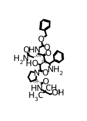 CC(C)(CO)NC(=O)[C@@H]1CCCN1C(=O)C(O)[C@@H](C(=O)[C@H](CC(N)=O)NC(=O)OCc1ccccc1)C(N)c1ccccc1